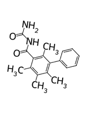 Cc1c(C)c(C(=O)NC(N)=O)c(C)c(-c2ccccc2)c1C